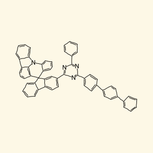 c1ccc(-c2ccc(-c3ccc(-c4nc(-c5ccccc5)nc(-c5ccc6c(c5)C5(c7ccccc7-6)c6ccccc6-n6c7ccccc7c7cccc5c76)n4)cc3)cc2)cc1